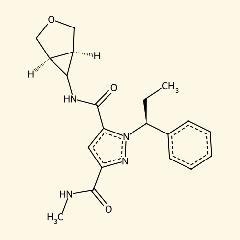 CC[C@@H](c1ccccc1)n1nc(C(=O)NC)cc1C(=O)NC1[C@H]2COC[C@@H]12